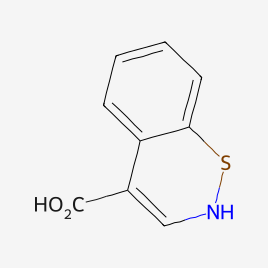 O=C(O)C1=CNSc2ccccc21